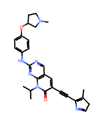 CC1=C(C#Cc2cc3cnc(Nc4ccc(OC5CCN(C)C5)cc4)nc3n(C(C)C)c2=O)N=CC1